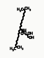 CC(C)CCCCCCCCCCC(CCCCCCCCCC(C)C)NC(=O)OCC(O)CO